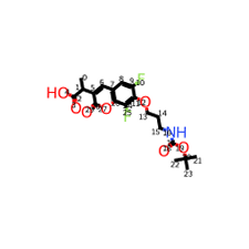 CC(C(=O)O)c1cc2cc(F)c(OCCCNC(=O)OC(C)(C)C)c(F)c2oc1=O